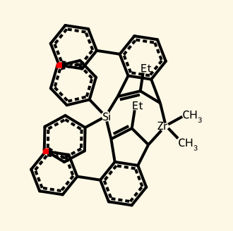 CCC1=C2c3c(-c4ccccc4)cccc3[CH]1[Zr]([CH3])([CH3])[CH]1C(CC)=C(c3c(-c4ccccc4)cccc31)[Si]2(c1ccccc1)c1ccccc1